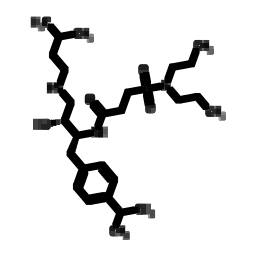 CCCN(CCC)S(=O)(=O)CCC(=O)N[C@@H](Cc1ccc(C(C)C)cc1)[C@H](O)CNCCC(C)C